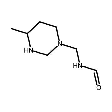 CC1CCN(CNC=O)CN1